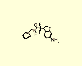 Nc1ccc2c(c1)CCC2C(F)(F)C(=O)N(F)Cc1ccccc1